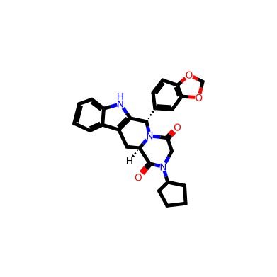 O=C1[C@H]2Cc3c([nH]c4ccccc34)[C@H](c3ccc4c(c3)OCO4)N2C(=O)CN1C1CCCC1